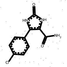 NC(=O)c1[nH]c(=O)[nH]c1-c1ccc(Cl)cc1